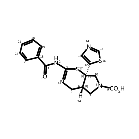 O=C(NC1=NC[C@H]2CN(C(=O)O)C[C@]2(c2cncs2)S1)c1ccccc1